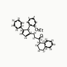 CCOc1ccccc1C1C(CCC(=O)C2CCCc3ccccc32)=CC=C1c1ccccc1